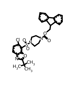 CC(C)(C)c1nc2ccc(Cl)c(S(=O)(=O)N3CCN(C(=O)OCC4c5ccccc5-c5ccccc54)CC3)c2o1